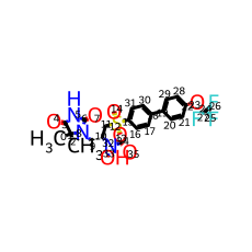 CC1(C)C(=O)NC(=O)N1C[C@H](CS(=O)(=O)c1ccc(-c2ccc(OC(F)(F)F)cc2)cc1)N(O)C=O